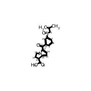 CC(C)C[S+]([O-])c1cccc(C(=O)c2ccc3n2CCC3C(=O)O)c1